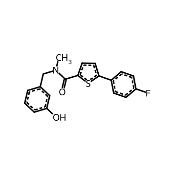 CN(Cc1cccc(O)c1)C(=O)c1ccc(-c2ccc(F)cc2)s1